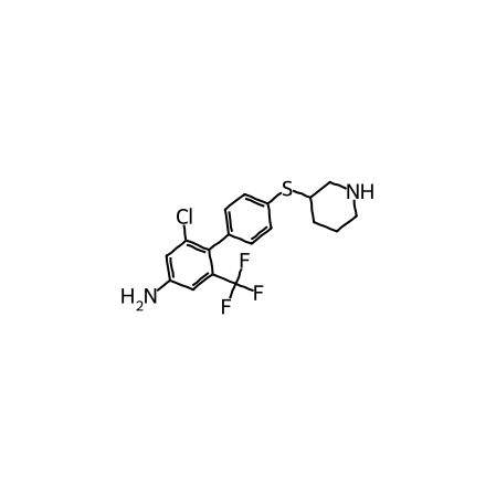 Nc1cc(Cl)c(-c2ccc(SC3CCCNC3)cc2)c(C(F)(F)F)c1